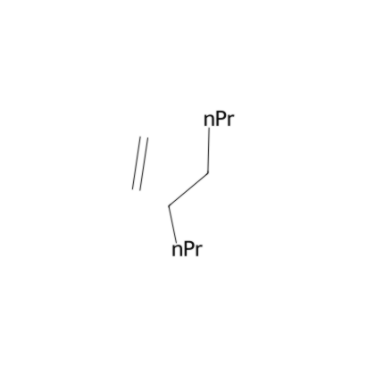 C=C.CCCCCCCC